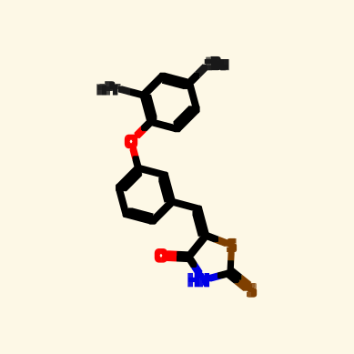 CCCc1cc(C(C)(C)C)ccc1Oc1cccc(C=C2SC(=S)NC2=O)c1